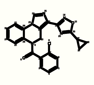 O=C(c1ccccc1Cl)N1Cc2c(-c3noc(C4CC4)n3)ncn2-c2ccccc21